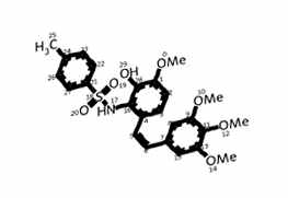 COc1ccc(/C=C\c2cc(OC)c(OC)c(OC)c2)c(NS(=O)(=O)c2ccc(C)cc2)c1O